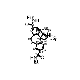 CCNC(=O)c1ccc2c(c1)CCc1cc(C(=O)NCC)ccc1C2(C[C@H](N)C(C)C)c1nnn[nH]1